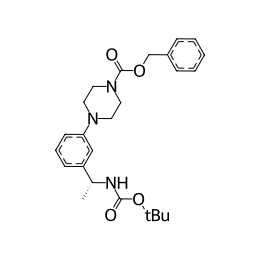 C[C@@H](NC(=O)OC(C)(C)C)c1cccc(N2CCN(C(=O)OCc3ccccc3)CC2)c1